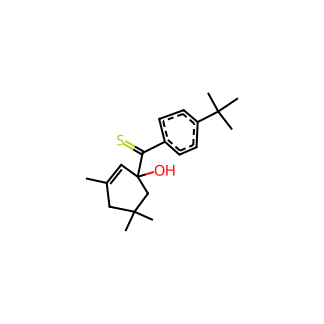 CC1=CC(O)(C(=S)c2ccc(C(C)(C)C)cc2)CC(C)(C)C1